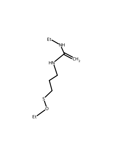 C=C(NCC)NCCCSOCC